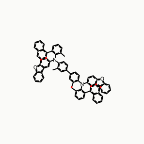 Cc1cc(-c2ccc(N(c3ccc4oc5ccccc5c4c3)c3c(C)cccc3-c3cccc4ccccc34)c(C)c2)ccc1N(c1ccc2oc3ccccc3c2c1)c1c(C)cccc1-c1cccc2ccccc12